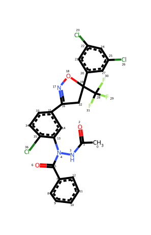 CC(=O)NN(C(=O)c1ccccc1)c1cc(C2=NOC(c3cc(Cl)cc(Cl)c3)(C(F)(F)F)C2)ccc1Cl